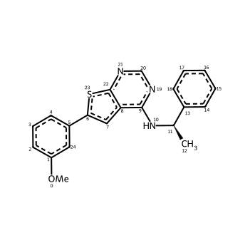 COc1cccc(-c2cc3c(N[C@H](C)c4ccccc4)ncnc3s2)c1